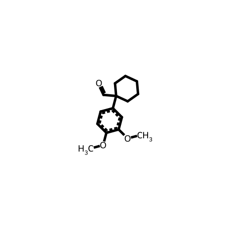 COc1ccc(C2(C=O)CCCCC2)cc1OC